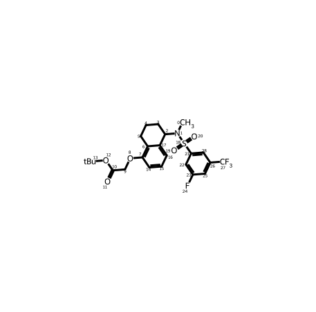 CN(C1CCCc2c(OCC(=O)OC(C)(C)C)cccc21)S(=O)(=O)c1cc(F)cc(C(F)(F)F)c1